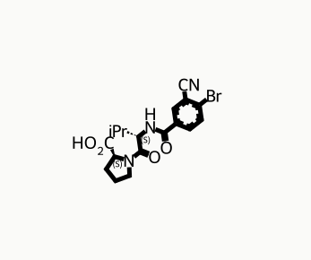 CC(C)[C@H](NC(=O)c1ccc(Br)c(C#N)c1)C(=O)N1CCC[C@H]1C(=O)O